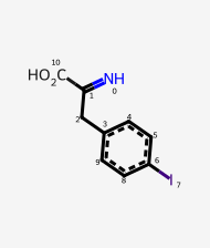 N=C(Cc1ccc(I)cc1)C(=O)O